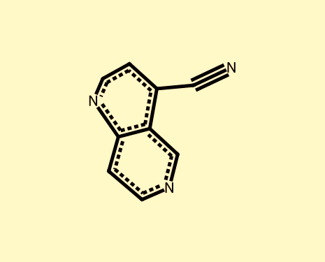 N#Cc1ccnc2ccncc12